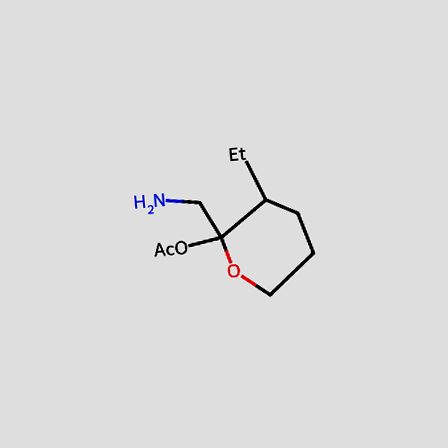 CCC1CCCOC1(CN)OC(C)=O